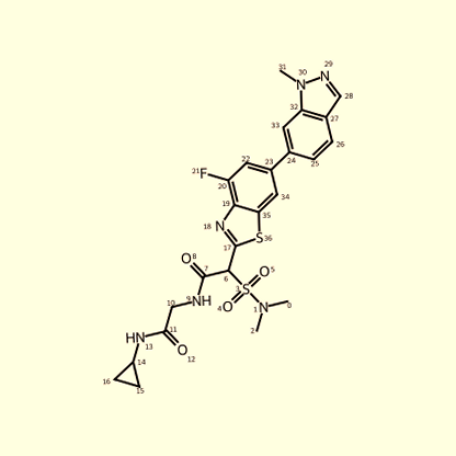 CN(C)S(=O)(=O)C(C(=O)NCC(=O)NC1CC1)c1nc2c(F)cc(-c3ccc4cnn(C)c4c3)cc2s1